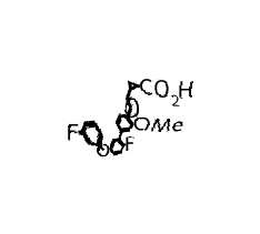 COc1cc(-c2cc(Oc3cccc(F)c3)ccc2F)ccc1OCC1CC1C(=O)O